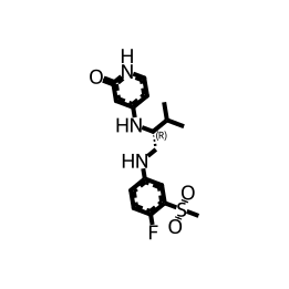 CC(C)[C@H](CNc1ccc(F)c(S(C)(=O)=O)c1)Nc1cc[nH]c(=O)c1